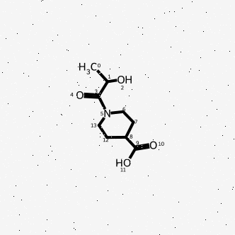 CC(O)C(=O)N1CCC(C(=O)O)CC1